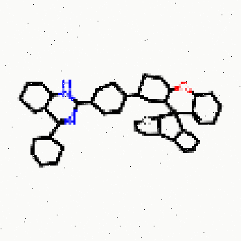 C1=C2C(CCC1)OC1CCC(C3CCC(C4N=C(C5CCCCC5)C5CCCCC5N4)CC3)CC1C21C2CCCCC2C2CCCCC21